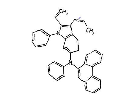 C=Cc1c(/C=C\C)c2ccc(N(c3ccccc3)c3cc4ccccc4c4ccccc34)cc2n1-c1ccccc1